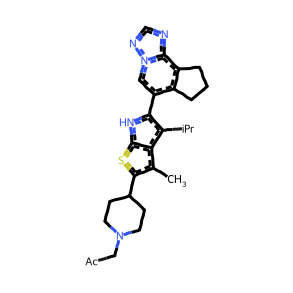 CC(=O)CN1CCC(c2sc3[nH]c(-c4cn5ncnc5c5c4CCC5)c(C(C)C)c3c2C)CC1